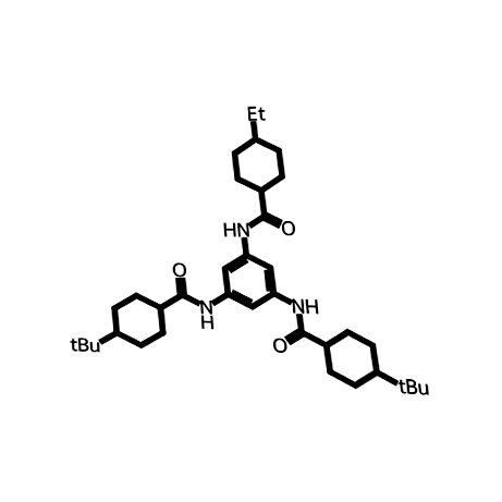 CCC1CCC(C(=O)Nc2cc(NC(=O)C3CCC(C(C)(C)C)CC3)cc(NC(=O)C3CCC(C(C)(C)C)CC3)c2)CC1